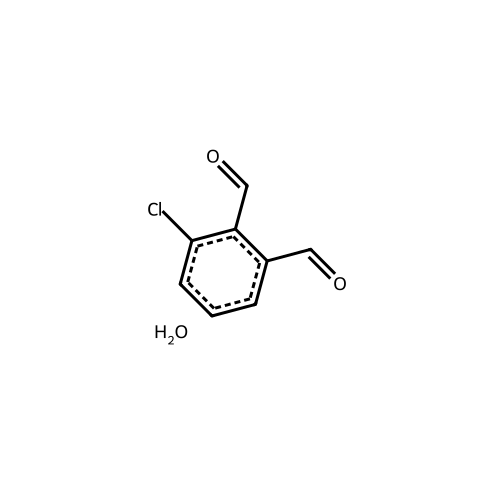 O.O=Cc1cccc(Cl)c1C=O